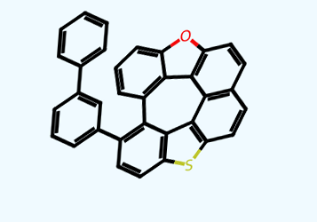 c1ccc(-c2cccc(-c3ccc4sc5ccc6ccc7oc8cccc9c8c7c6c5c4c3-9)c2)cc1